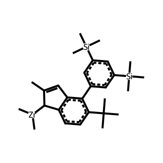 CC1=Cc2c(ccc(C(C)(C)C)c2-c2cc([Si](C)(C)C)cc([Si](C)(C)C)c2)[CH]1[Zr]([CH3])[CH3]